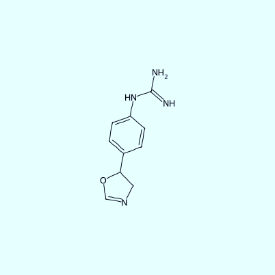 N=C(N)Nc1ccc(C2CN=CO2)cc1